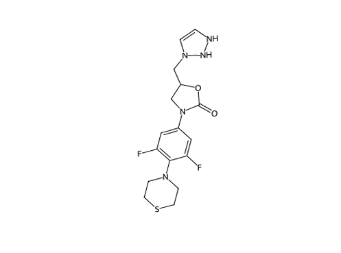 O=C1OC(CN2C=CNN2)CN1c1cc(F)c(N2CCSCC2)c(F)c1